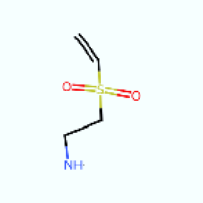 C=CS(=O)(=O)CC[NH]